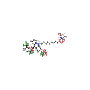 O=C(CCCCCCCCCC[n+]1c2ccccc2c(C(=O)Oc2c(C(F)(F)F)cccc2C(F)(F)F)c2ccccc21)ON1C(=O)CCC1=O.O=S(=O)([O-])C(F)(F)F